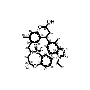 CCn1nnc2c(C)c(C(CC(=O)O)c3ccc(C)c(CN4C[C@@H](C)Oc5ccccc5S4(=O)=O)c3)ccc21